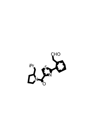 CC(C)CC1CCCN1C(=O)c1csc(-c2ccccc2CC=O)n1